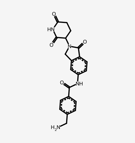 NCc1ccc(C(=O)Nc2ccc3c(c2)CN(C2CCC(=O)NC2=O)C3=O)cc1